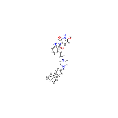 Cc1nc2cccc(CCCN3CCN(Cc4ccc(C56CC7CC(CC(C7)C5)C6)cc4)CC3)c2c(=O)n1C1CCC(=O)NC1=O